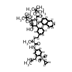 CNCc1cc(NC(=O)N(C)CCc2cccc(C(C(=O)O)N(c3ccc4cnccc4c3)N(C(=O)OC(C)(C)C)C(=O)OC(C)(C)C)c2)ccc1S(=O)(=O)C1CC1